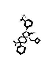 CN(C)C1(c2ccccc2)CCC2(CC1)CN(c1cccc(C(N)=O)c1)C(=O)N2CC1CCC1